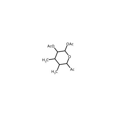 CC(=O)OC1OC(C(C)=O)C(C)C(C)C1OC(C)=O